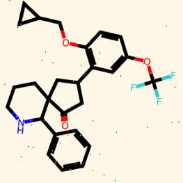 O=C1CC(c2cc(OC(F)(F)F)ccc2OCC2CC2)CC12CCCNC2c1ccccc1